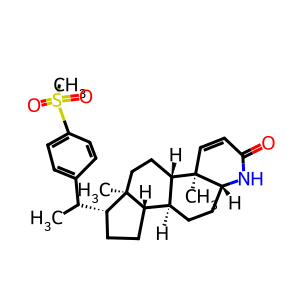 CC(c1ccc(S(C)(=O)=O)cc1)[C@H]1CC[C@H]2[C@@H]3CC[C@H]4NC(=O)C=C[C@]4(C)[C@H]3CC[C@]12C